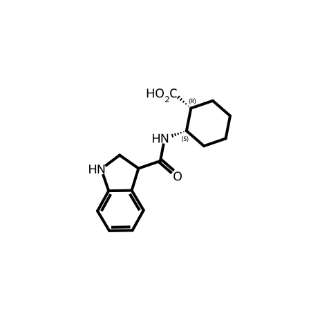 O=C(N[C@H]1CCCC[C@H]1C(=O)O)C1CNc2ccccc21